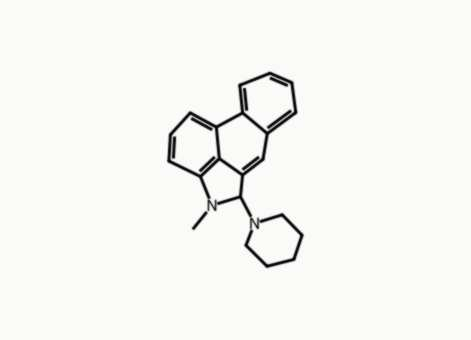 CN1c2cccc3c2c(cc2ccccc23)C1N1CCCCC1